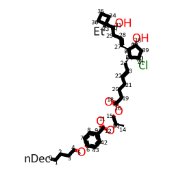 CCCCCCCCCCCCCCOc1ccc(C(=O)O[C@H](C)COC(=O)CCCC=CC[C@@H]2[C@@H](C=CC[C@H](O)C3(CC)CCC3)[C@H](O)C[C@H]2Cl)cc1